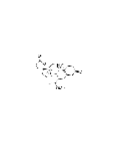 COC(=O)C1CC2=CC(=O)CC[C@]2(C)C2=CC[C@@]3(C)C(CCC34CCC(=O)O4)C21